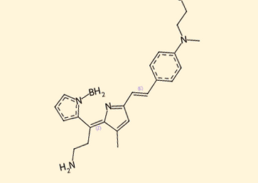 Bn1cccc1/C(CCN)=C1N=C(/C=C/c2ccc(N(C)CCO)cc2)C=C\1C